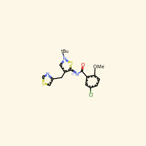 COc1ccc(Cl)cc1C(=O)/N=c1\sn(C(C)(C)C)cc1Cc1cscn1